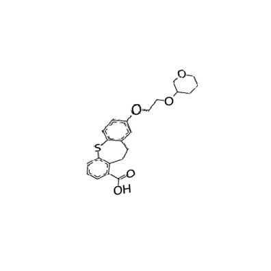 O=C(O)c1cccc2c1CCc1cc(OCCOC3CCCOC3)ccc1S2